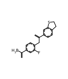 BC(=C)c1ccc(CC(=C)c2ccc3c(c2)SCC3)c(F)c1